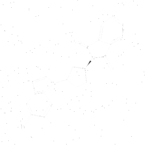 O=C1c2ccccc2C(=O)N1[C@H]1CCC(n2ccc3cc(Br)ccc32)C1